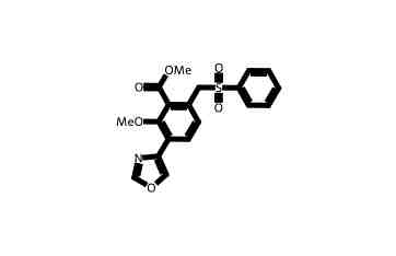 COC(=O)c1c(CS(=O)(=O)c2ccccc2)ccc(-c2cocn2)c1OC